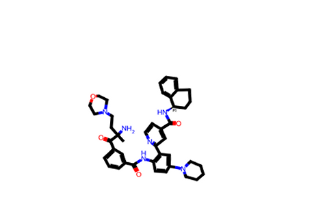 CC(N)(CCN1CCOCC1)C(=O)c1cccc(C(=O)Nc2ccc(N3CCCCC3)cc2-c2cc(C(=O)N[C@@H]3CCCc4ccccc43)ccn2)c1